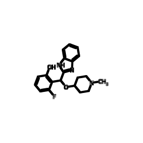 CN1CCC(OC(c2nc3ccccc3[nH]2)c2c(O)cccc2F)CC1